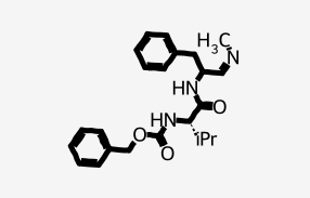 C/N=C\C(Cc1ccccc1)NC(=O)[C@@H](NC(=O)OCc1ccccc1)C(C)C